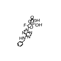 O=[PH](O)O[C@H]1[C@@H](F)[C@H](n2cnc3c(NCc4ccccc4)ncnc32)O[C@@H]1CO